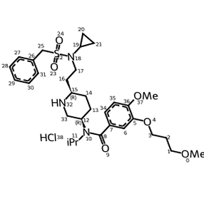 COCCCOc1cc(C(=O)N(C(C)C)[C@@H]2CC[C@H](CCN(C3CC3)S(=O)(=O)Cc3ccccc3)NC2)ccc1OC.Cl